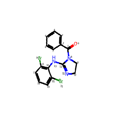 O=C(c1ccccc1)N1CCN=C1Nc1c(Br)cccc1Br